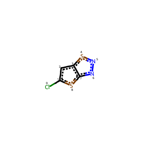 Clc1cc2snnc2s1